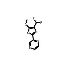 CSc1oc(-c2cnccn2)nc1C(F)F